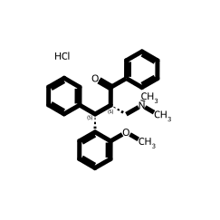 COc1ccccc1[C@H](c1ccccc1)[C@@H](CN(C)C)C(=O)c1ccccc1.Cl